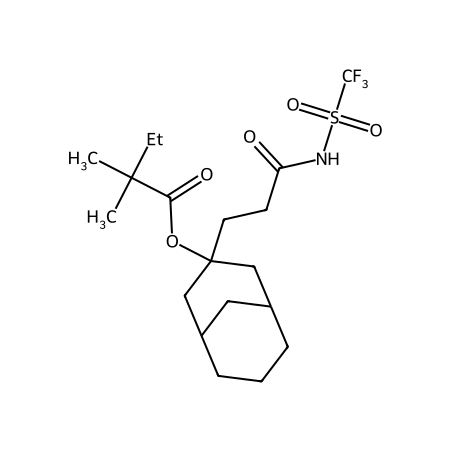 CCC(C)(C)C(=O)OC1(CCC(=O)NS(=O)(=O)C(F)(F)F)CC2CCCC(C2)C1